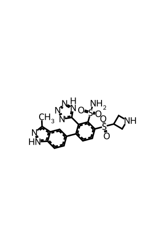 Cc1n[nH]c2ccc(-c3ccc(S(=O)(=O)C4CNC4)c(S(N)(=O)=O)c3-c3nnn[nH]3)cc12